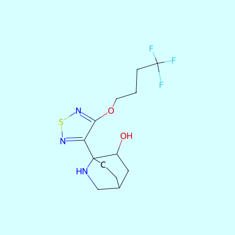 OC1CC2CCC1(c1nsnc1OCCCC(F)(F)F)NC2